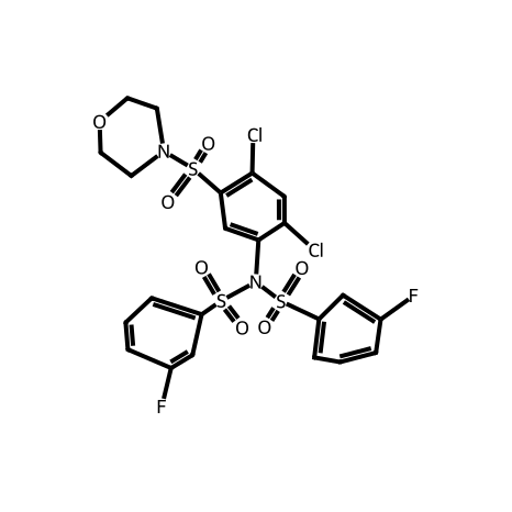 O=S(=O)(c1cc(N(S(=O)(=O)c2cccc(F)c2)S(=O)(=O)c2cccc(F)c2)c(Cl)cc1Cl)N1CCOCC1